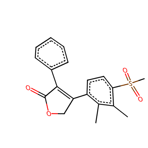 Cc1c(C2=C(c3ccccc3)C(=O)OC2)ccc(S(C)(=O)=O)c1C